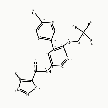 Cc1nnsc1C(=O)Nc1cnc(OCC(F)(F)F)c(-c2ccc(Cl)cc2)c1